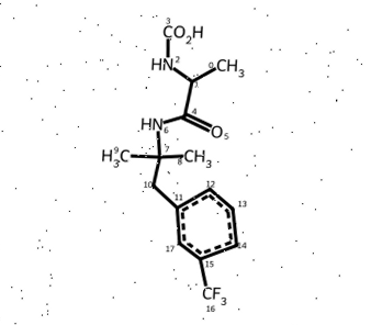 CC(NC(=O)O)C(=O)NC(C)(C)Cc1cccc(C(F)(F)F)c1